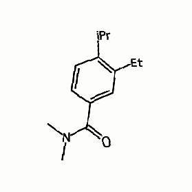 CCc1cc(C(=O)N(C)C)ccc1C(C)C